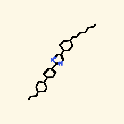 CCCCCCCC1CCC(c2cnc(-c3ccc(C4CCC(CCC)CC4)cc3)nc2)CC1